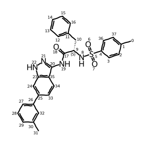 Cc1ccc(S(=O)(=O)N[C@@H](Cc2ccccc2)C(=O)Nc2n[nH]c3cc(-c4cccc(C)c4)ccc23)cc1